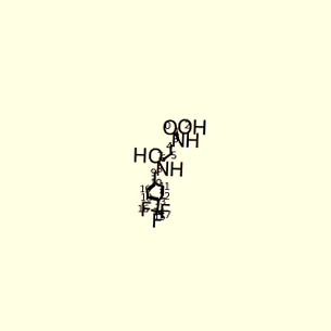 O=C(O)NCCC(O)NCc1ccc(C(F)(F)F)cc1